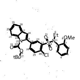 CCN(c1ccccc1OC)S(=O)(=O)c1cc(-c2cc3ccccc3n2C(=O)OC(C)(C)C)ccc1Cl